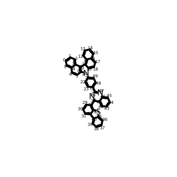 c1ccc2c(c1)ccc1c2c2c3ccccc3ccc2n1-c1ccc(-c2nc(-c3cccc4c3sc3ccccc34)c3ccccc3n2)cc1